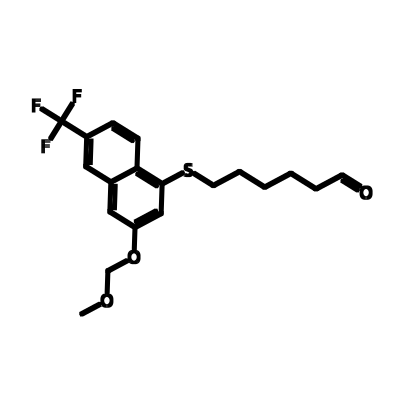 COCOc1cc(SCCCCCC=O)c2ccc(C(F)(F)F)cc2c1